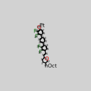 CCCCCCCCC1CCC(/C=C/c2ccc(-c3ccc(-c4ccc(OCC)c(F)c4F)cc3)c(F)c2F)OC1